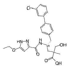 CCOc1cc(C(=O)N[C@H](Cc2ccc(-c3cccc(Cl)c3)cc2)CC(C)(CO)C(=O)O)n[nH]1